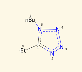 C[CH]c1nnnn1CCCC